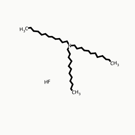 CCCCCCCCCCCCN(CCCCCCCCCCCC)CCCCCCCCCCCC.F